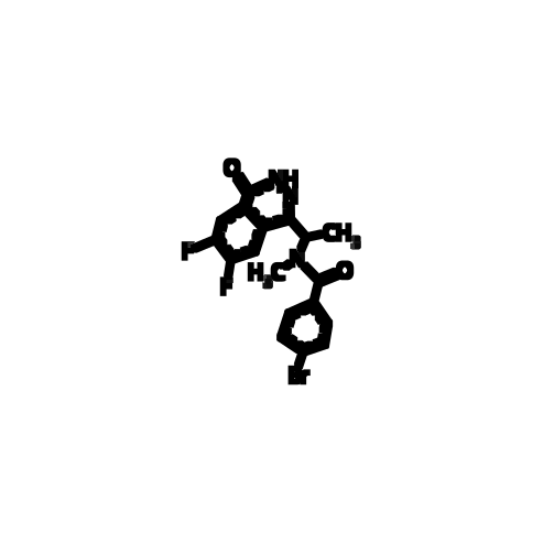 CC(c1n[nH]c(=O)c2cc(F)c(F)cc12)N(C)C(=O)c1ccc(Br)cc1